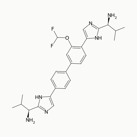 CC(C)[C@H](N)c1ncc(-c2ccc(-c3ccc(-c4cnc([C@@H](N)C(C)C)[nH]4)c(OC(F)F)c3)cc2)[nH]1